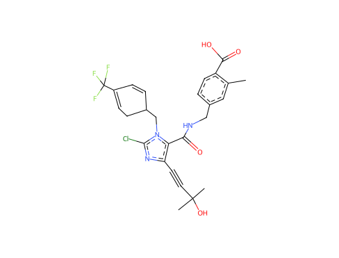 Cc1cc(CNC(=O)c2c(C#CC(C)(C)O)nc(Cl)n2CC2C=CC(C(F)(F)F)=CC2)ccc1C(=O)O